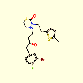 Cc1ccc(CCN2C(=O)SCCN2CCC(=O)Cc2ccc(F)c(Br)c2)s1